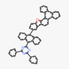 c1ccc(-c2nc(-c3ccccc3)nc(-c3c4ccccc4c(-c4ccc5oc6c(ccc7c8ccccc8c8ccccc8c76)c5c4)c4ccccc34)n2)cc1